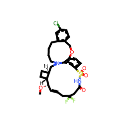 CO[C@H]1/C=C/CC(F)(F)CC(=O)NS(=O)(=O)c2ccc3c(c2)N(CCCCc2cc(Cl)ccc2CO3)C[C@@H]2CC[C@H]21